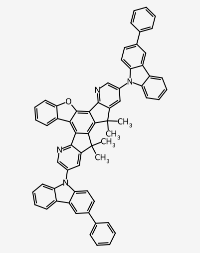 CC1(C)c2cc(-n3c4ccccc4c4cc(-c5ccccc5)ccc43)cnc2-c2c1c1c(c3c2oc2ccccc23)-c2ncc(-n3c4ccccc4c4cc(-c5ccccc5)ccc43)cc2C1(C)C